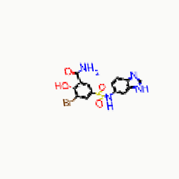 NC(=O)c1cc(S(=O)(=O)Nc2ccc3nc[nH]c3c2)cc(Br)c1O